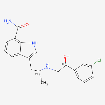 C[C@H](Cc1c[nH]c2c(C(N)=O)cccc12)NC[C@@H](O)c1cccc(Cl)c1